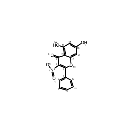 O=c1c([N+](=O)[O-])c(-c2ccccc2)oc2cc(O)cc(O)c12